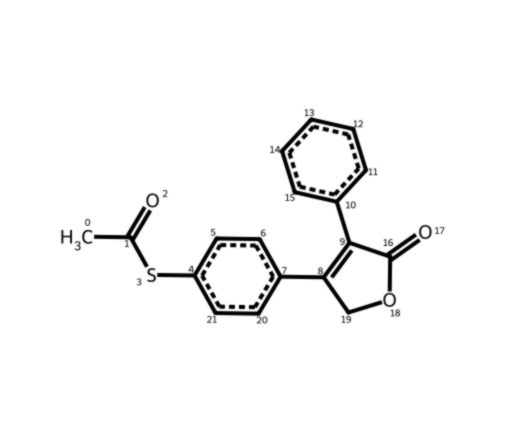 CC(=O)Sc1ccc(C2=C(c3ccccc3)C(=O)OC2)cc1